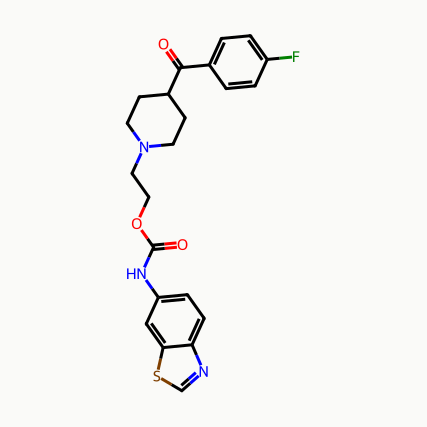 O=C(Nc1ccc2ncsc2c1)OCCN1CCC(C(=O)c2ccc(F)cc2)CC1